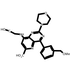 COCc1cccc(-c2nc(N3CCOCC3)nc3c(NCCO)cc(C(=O)O)nc23)c1